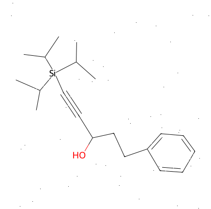 CC(C)[Si](C#CC(O)CCc1ccccc1)(C(C)C)C(C)C